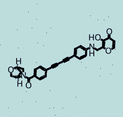 O=C(c1ccc(C#CC#Cc2ccc(NCc3occc(=O)c3O)cc2)cc1)N1C[C@H]2C[C@@H]1CO2